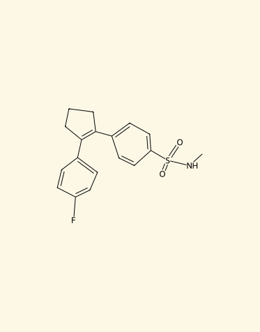 CNS(=O)(=O)c1ccc(C2=C(c3ccc(F)cc3)CCC2)cc1